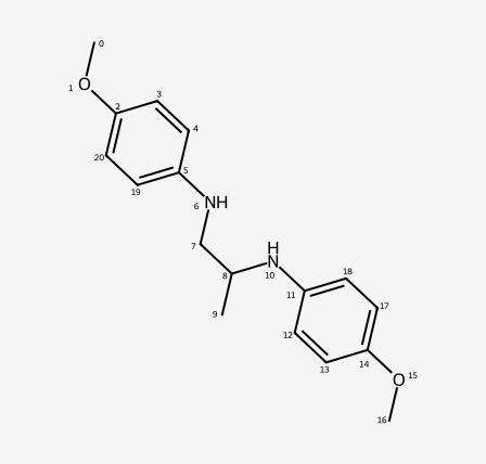 COc1ccc(NCC(C)Nc2ccc(OC)cc2)cc1